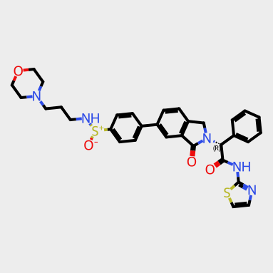 O=C(Nc1nccs1)[C@@H](c1ccccc1)N1Cc2ccc(-c3ccc([S+]([O-])NCCCN4CCOCC4)cc3)cc2C1=O